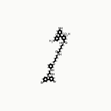 N=c1ccc2c(-c3cc(C(=O)NCCCCCC(=O)NCCCCCOc4cccc(NCC(O)Cn5c6ccc(Br)cc6c6cc(Br)ccc65)c4)ccc3C(=O)O)c3ccc(N)cc3oc-2c1